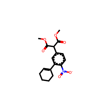 COC(=O)C(C(=O)OC)c1ccc([N+](=O)[O-])c(C2=CCCCC2)c1